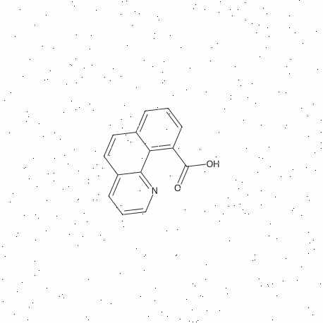 O=C(O)c1cccc2ccc3cccnc3c12